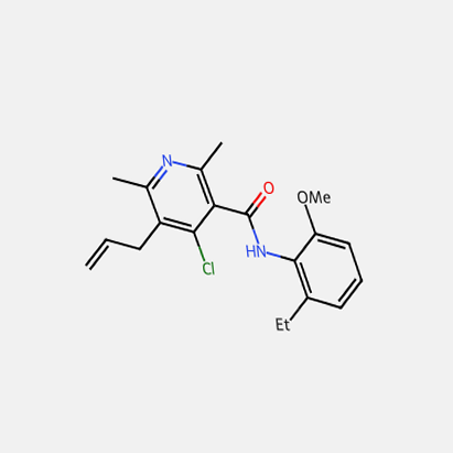 C=CCc1c(C)nc(C)c(C(=O)Nc2c(CC)cccc2OC)c1Cl